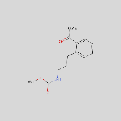 COC(=O)c1ccccc1CCCNC(=O)OC(C)(C)C